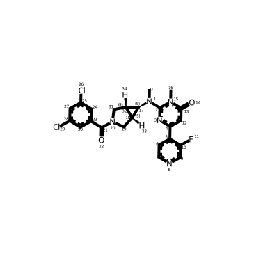 CN(c1nc(-c2ccncc2F)cc(=O)n1C)[C@H]1[C@@H]2CN(C(=O)c3cc(Cl)cc(Cl)c3)C[C@@H]21